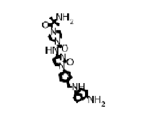 CC(C)(N)C(=O)N1CCN(C(=O)Nc2ccn(-c3ccc(CNC45CCC(N)C(CC4)C5)cc3)c(=O)n2)CC1